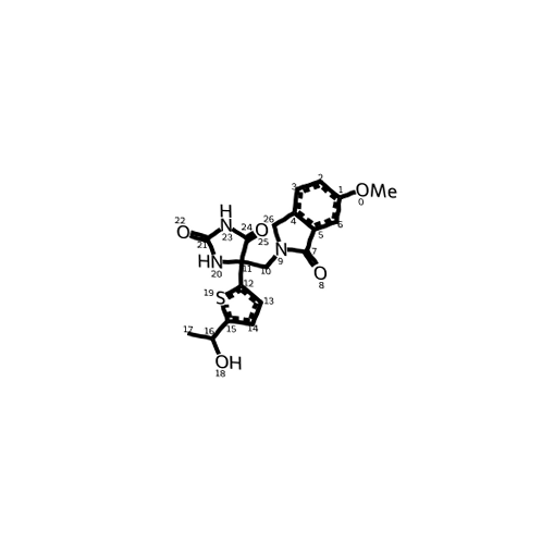 COc1ccc2c(c1)C(=O)N(CC1(c3ccc(C(C)O)s3)NC(=O)NC1=O)C2